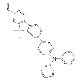 C=Cc1ccc2c(c1)C(C)(C)c1cc(-c3ccc(N(c4ccccc4)c4ccccc4)cc3)ccc1-2